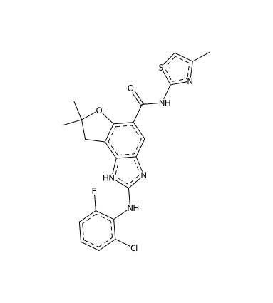 Cc1csc(NC(=O)c2cc3nc(Nc4c(F)cccc4Cl)[nH]c3c3c2OC(C)(C)C3)n1